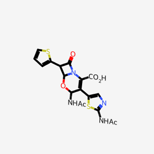 CC(=O)Nc1ncc(C2=C(C(=O)O)N3C(=O)C(c4cccs4)C3OC2NC(C)=O)s1